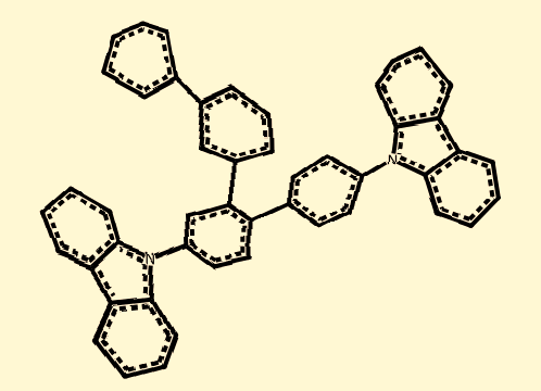 c1ccc(-c2cccc(-c3cc(-n4c5ccccc5c5ccccc54)ccc3-c3ccc(-n4c5ccccc5c5ccccc54)cc3)c2)cc1